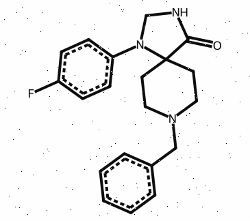 O=C1NCN(c2ccc(F)cc2)C12CCN(Cc1ccccc1)CC2